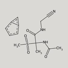 CC(=O)NC(C)(C(=O)NCC#N)S(C)(=O)=O.c1cc2cc-2c1